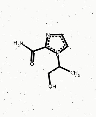 CC(CO)n1c[c]nc1C(N)=O